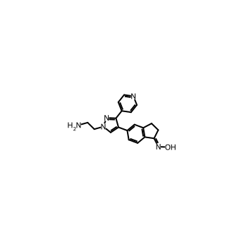 NCCn1cc(-c2ccc3c(c2)CCC3=NO)c(-c2ccncc2)n1